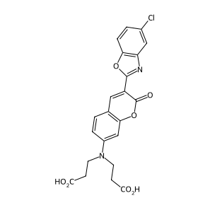 O=C(O)CCN(CCC(=O)O)c1ccc2cc(-c3nc4cc(Cl)ccc4o3)c(=O)oc2c1